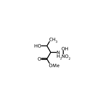 COC(=O)C(N)C(C)O.O=[N+]([O-])O